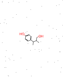 CC(CO)C(C)c1ccc(O)cc1